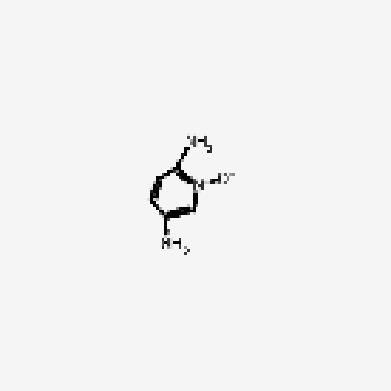 Nc1ccc(N)[n+]([O-])c1